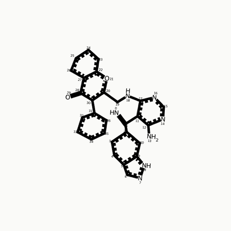 N=C(c1ccc2cn[nH]c2c1)c1c(N)ncnc1NCc1oc2ccccc2c(=O)c1-c1ccccc1